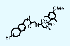 CCN1CCc2ccc(CN(C)C(=O)CNC(=O)CN(C)S(=O)(=O)c3c(C)cc(OC)cc3C)cc2CC1